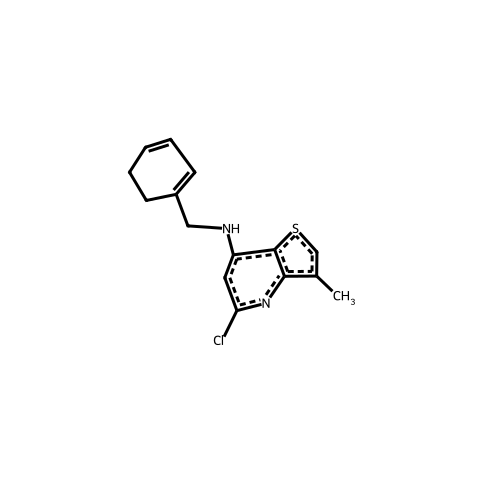 Cc1csc2c(NCC3=CC=CCC3)cc(Cl)nc12